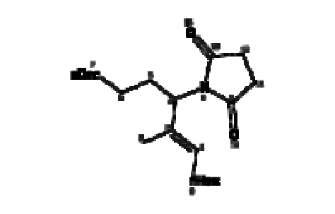 CCCCCCC=C(C)C(CCCCCCCCCCCC)N1C(=O)CCC1=O